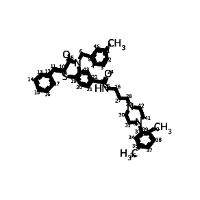 Cc1cccc(CN2C(=O)/C(=C/c3ccccc3)Sc3ccc(C(=O)NCCCN4CCN(c5cc(C)ccc5C)CC4)cc32)c1